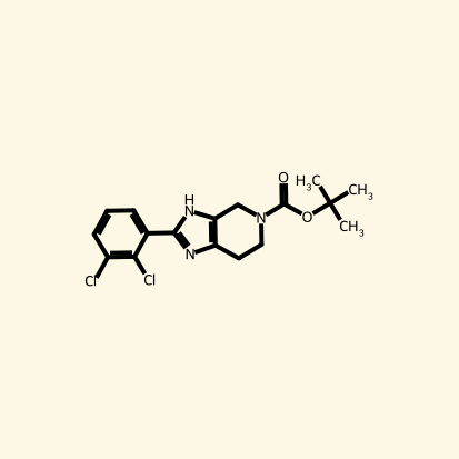 CC(C)(C)OC(=O)N1CCc2nc(-c3cccc(Cl)c3Cl)[nH]c2C1